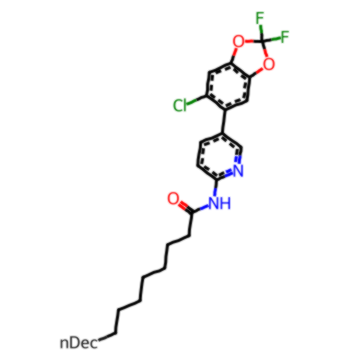 CCCCCCCCCCCCCCCCCC(=O)Nc1ccc(-c2cc3c(cc2Cl)OC(F)(F)O3)cn1